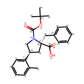 Cc1ccccc1[C@H]1CN(C(=O)OC(C)(C)C)[C@@](Cc2ccccc2)(C(=O)O)C1